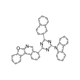 c1ccc2cc(-c3nc(-c4cccc5c4cnc4oc6ccccc6c45)nc(-n4c5ccccc5c5ccccc54)n3)ccc2c1